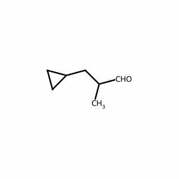 CC(C=O)CC1CC1